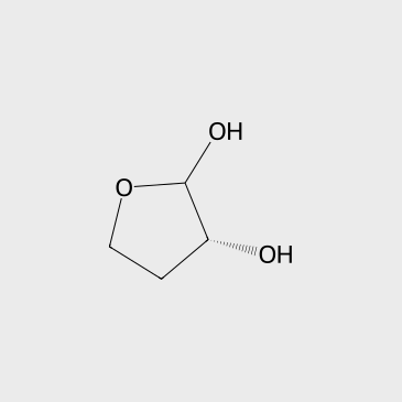 OC1OCC[C@H]1O